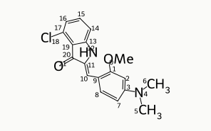 COc1cc(N(C)C)ccc1/C=C1\Nc2cccc(Cl)c2C1=O